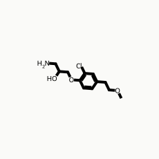 COCCc1ccc(OCC(O)CN)c(Cl)c1